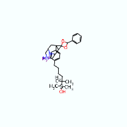 CC(C)(CCCCc1ccc(C23CC4CNCC(C2C32OC(c3ccccc3)O2)N4P)cc1)[Si](C)(C)O